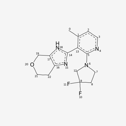 Cc1ccnc(N2CCC(F)(F)C2)c1-c1nc2c([nH]1)COCC2